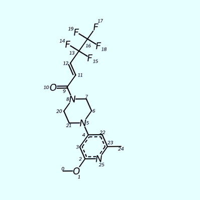 COc1cc(N2CCN(C(=O)/C=C/C(F)(F)C(F)(F)F)CC2)cc(C)n1